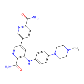 CN1CCN(c2ccc(Nc3cc(-c4ccc(C(N)=O)nc4)cnc3C(N)=O)cc2)CC1